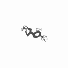 CC(=O)N1CCC(c2ccc(C(C)C)cc2O)CC1